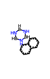 B1NBNBN1.c1ccc2ccccc2c1